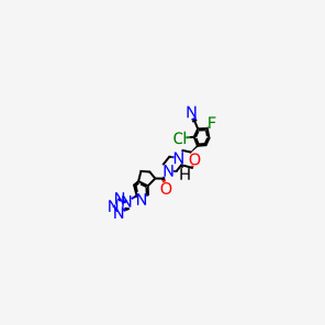 N#Cc1c(F)ccc([C@@H]2CN3CCN(C(=O)C4CCc5cc(-n6cnnn6)ncc54)C[C@H]3CO2)c1Cl